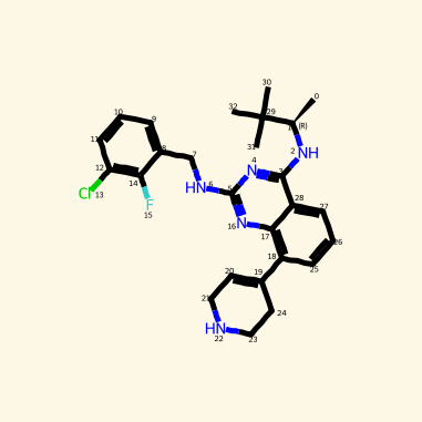 C[C@@H](Nc1nc(NCc2cccc(Cl)c2F)nc2c(C3=CCNCC3)cccc12)C(C)(C)C